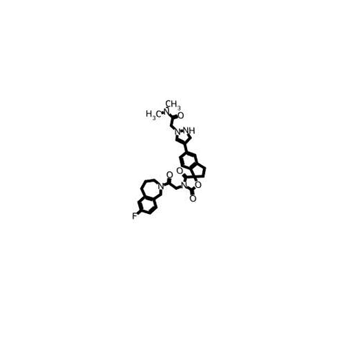 CN(C)C(=O)CN1C=C(c2ccc3c(c2)CCC32OC(=O)N(CC(=O)N3CCCc4cc(F)ccc4C3)C2=O)CN1